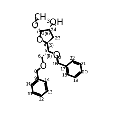 CO[C@H]1O[C@H]([C@@H](COCc2ccccc2)OCc2ccccc2)C[C@H]1O